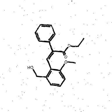 CCOC(=O)C(=Cc1c(CO)cccc1OC)c1ccccc1